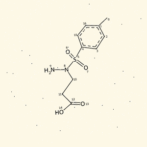 Cc1ccc(S(=O)(=O)N(N)CCC(=O)O)cc1